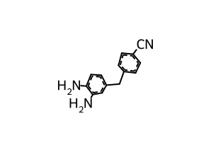 N#Cc1ccc(Cc2ccc(N)c(N)c2)cc1